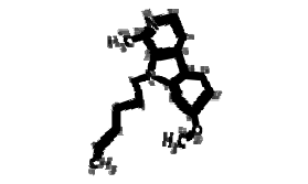 CCCCCCn1c2cc(OC)ccc2c2ccnc(C)c21